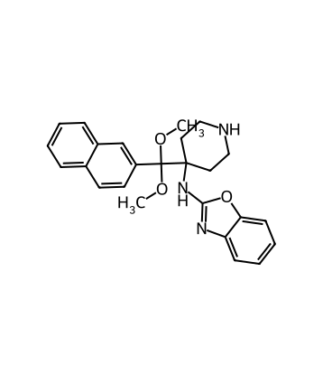 COC(OC)(c1ccc2ccccc2c1)C1(Nc2nc3ccccc3o2)CCNCC1